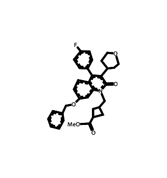 COC(=O)C1CC(Cn2c(=O)c(C3CCOCC3)c(-c3ccc(F)cc3)c3ccc(OCc4ccccc4)cc32)C1